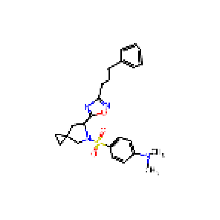 CN(C)c1ccc(S(=O)(=O)N2CC3(CC3)CC2c2nc(CCCc3ccccc3)no2)cc1